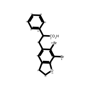 O=C(O)C(Cc1cc2c(c(Br)c1Br)OCC2)c1ccccc1